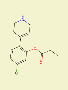 CCC(=O)Oc1cc(Cl)ccc1C1=CCNCC1